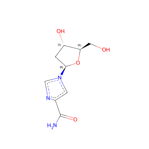 NC(=O)c1cn([C@H]2C[C@H](O)[C@@H](CO)O2)cn1